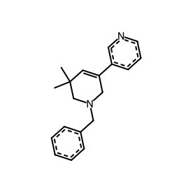 CC1(C)C=C(c2cccnc2)CN(Cc2ccccc2)C1